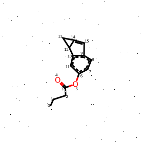 CCCC(=O)Oc1ccc2c(c1)C1CC1=C2